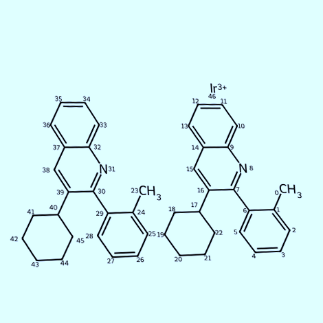 Cc1ccccc1-c1nc2ccccc2cc1C1CCCCC1.Cc1ccccc1-c1nc2ccccc2cc1C1CCCCC1.[Ir+3]